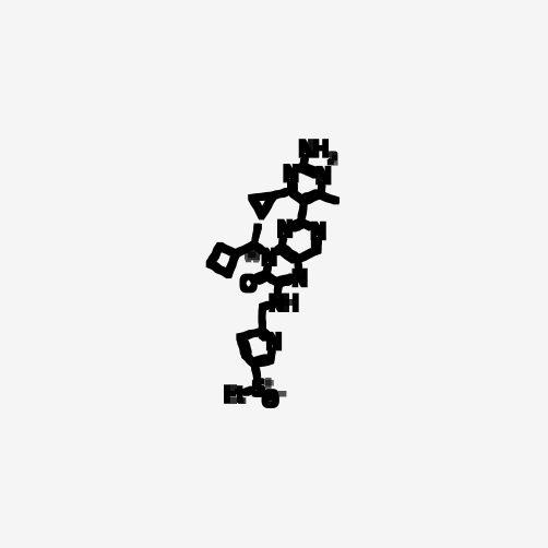 CC[S+]([O-])c1ccc(CNc2nc3cnc(-c4c(C)nc(N)nc4C4CC4)nc3n([C@H](C)C3CCC3)c2=O)nc1